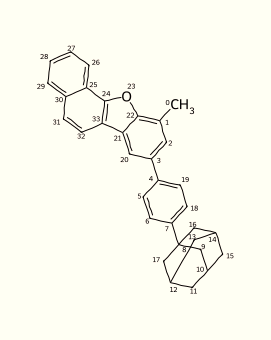 Cc1cc(-c2ccc(C34CC5CC(CC(C5)C3)C4)cc2)cc2c1oc1c3ccccc3ccc21